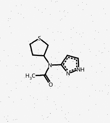 CC(=O)N(c1cc[nH]n1)C1CCSC1